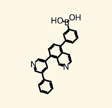 OB(O)c1cccc(-c2ccc(-c3cncc(-c4ccccc4)c3)c3cnccc23)c1